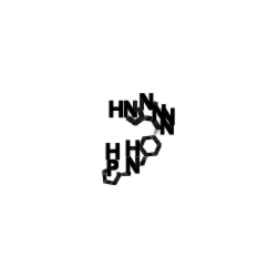 c1cc2c(ncn3nnc([C@H]4CC[C@H](CNC[C@H]5CCCP5)CC4)c23)[nH]1